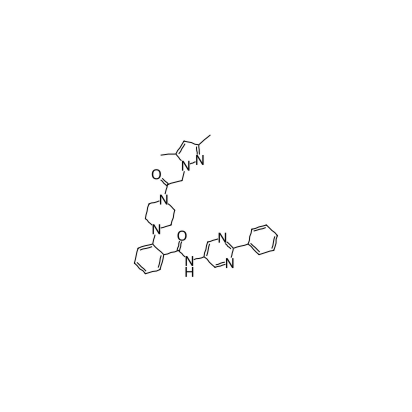 Cc1cc(C)n(CC(=O)N2CCN(c3ccccc3C(=O)Nc3cnc(-c4ccccc4)nc3)CC2)n1